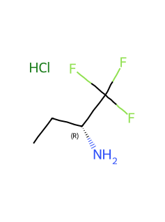 CC[C@@H](N)C(F)(F)F.Cl